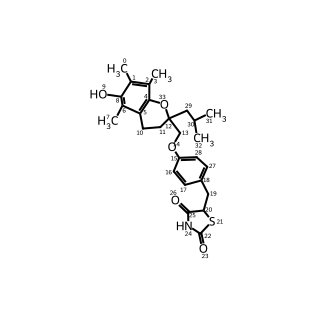 Cc1c(C)c2c(c(C)c1O)CCC(COc1ccc(CC3SC(=O)NC3=O)cc1)(CC(C)C)O2